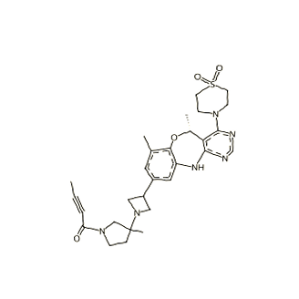 CC#CC(=O)N1CCC(C)(N2CC(c3cc(C)c4c(c3)Nc3ncnc(N5CCS(=O)(=O)CC5)c3[C@@H](C)O4)C2)C1